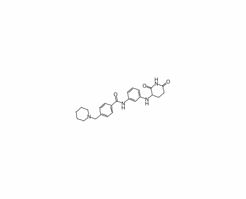 O=C1CCC(Nc2cccc(NC(=O)c3ccc(CN4CCCCC4)cc3)c2)C(=O)N1